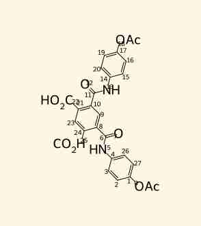 CC(=O)Oc1ccc(NC(=O)c2cc(C(=O)Nc3ccc(OC(C)=O)cc3)c(C(=O)O)cc2C(=O)O)cc1